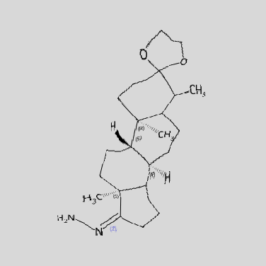 CC1C2CC[C@H]3C4CC/C(=N/N)[C@@]4(C)CC[C@@H]3[C@@]2(C)CCC12OCCO2